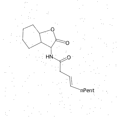 CCCCC/C=C/CC(=O)NC1C(=O)OC2CCCCC21